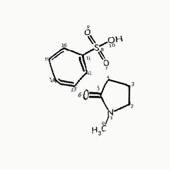 CN1CCCC1=O.O=S(=O)(O)c1ccccc1